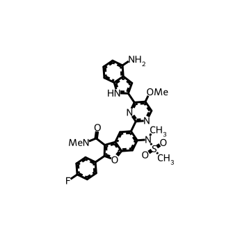 CNC(=O)c1c(-c2ccc(F)cc2)oc2cc(N(C)S(C)(=O)=O)c(-c3ncc(OC)c(-c4cc5c(N)cccc5[nH]4)n3)cc12